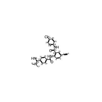 C#Cc1ccc(NC(=O)c2ccc(C(=N)N(C)C)cc2)c(C(=O)Nc2ccc(Cl)cn2)c1